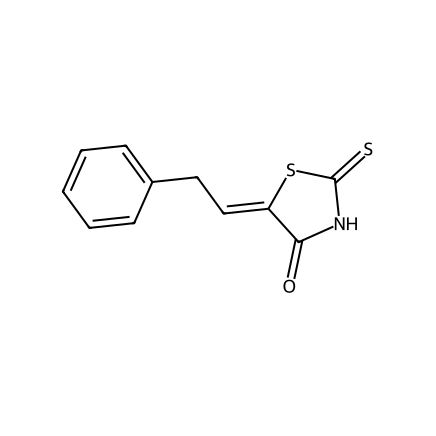 O=C1NC(=S)SC1=CCc1ccccc1